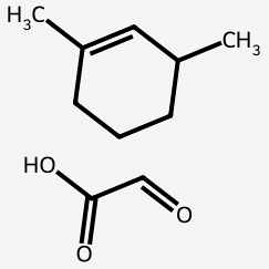 CC1=CC(C)CCC1.O=CC(=O)O